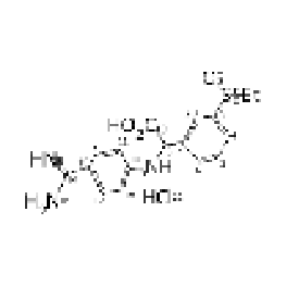 CC[S+]([O-])c1cccc(C(Nc2ccc(C(=N)N)cc2)C(=O)O)c1.Cl